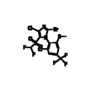 CSc1cc(C(F)(F)F)cc(Cl)c1-n1c(Br)nc(Cl)c1S(=O)(=O)C(F)F